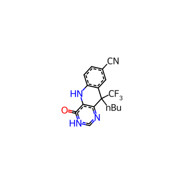 CCCCC1(C(F)(F)F)c2cc(C#N)ccc2Nc2c1nc[nH]c2=O